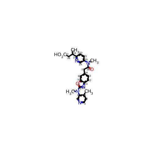 Cc1ccncc1N(C)c1nc2ccc(CC(=O)N(C)c3ccc(C(C)CC(=O)O)nc3)cc2o1